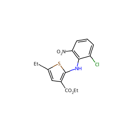 CCOC(=O)c1cc(CC)sc1Nc1c(Cl)cccc1[N+](=O)[O-]